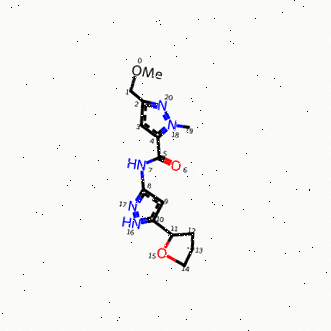 COCc1cc(C(=O)Nc2cc(C3C[CH]CO3)[nH]n2)n(C)n1